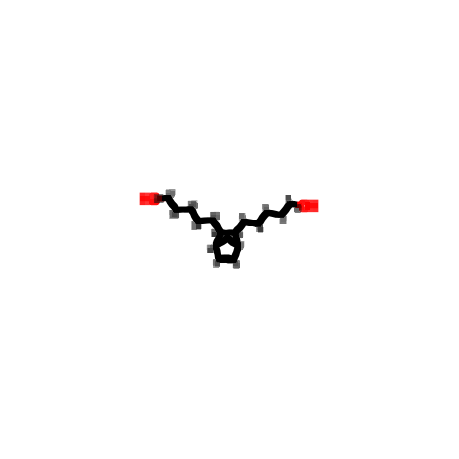 OCCCCCC1C2C=CC(C2)C1CCCCCO